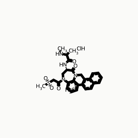 CNC(C)C(=O)N[C@H]1CN(C(=O)CS(C)(=O)=O)c2ccccc2N(Cc2c(OC)ccc3ccccc23)C1=O.Cl